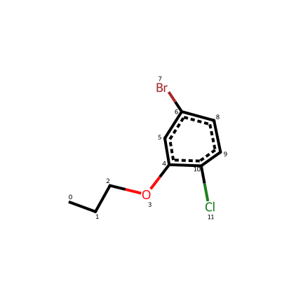 CCCOc1cc(Br)ccc1Cl